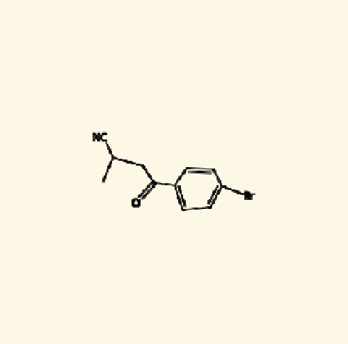 CC(C#N)CC(=O)c1ccc(Br)cc1